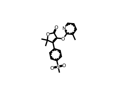 Cc1cccnc1OC1=C(c2ccc(S(C)(=O)=O)cc2)C(C)(C)OC1=O